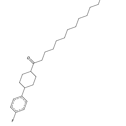 CCCCCCCCCCCCC(=O)C1CCC(c2ccc(F)cc2)CC1